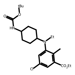 CCOC(=O)c1cc(Cl)cc(N(CC)C2CCC(NC(=O)OC(C)(C)C)CC2)c1C